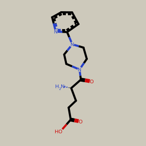 N[C@@H](CCC(=O)O)C(=O)N1CCN(c2ccccn2)CC1